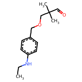 CCNc1ccc(COCC(C)(C)C=O)cc1